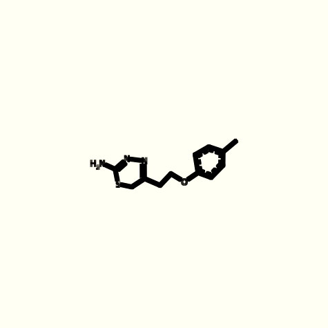 Cc1ccc(OCCC2=NN=C(N)SC2)cc1